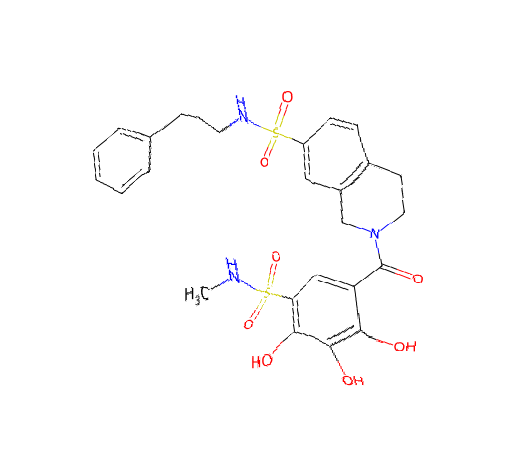 CNS(=O)(=O)c1cc(C(=O)N2CCc3ccc(S(=O)(=O)NCCc4ccccc4)cc3C2)c(O)c(O)c1O